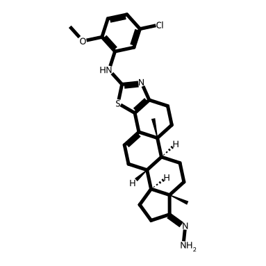 COc1ccc(Cl)cc1Nc1nc2c(s1)C1=CC[C@@H]3[C@H](CC[C@]4(C)/C(=N/N)CC[C@@H]34)[C@@]1(C)CC2